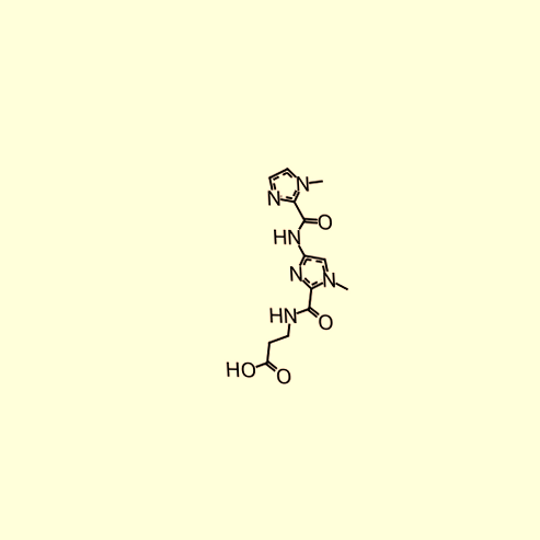 Cn1cc(NC(=O)c2nccn2C)nc1C(=O)NCCC(=O)O